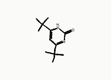 CC(C)(C)c1cc(C(C)(C)C)[nH]c(=O)n1